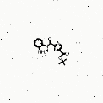 CC(C)(C)OC(=O)c1csc(C(=O)Nc2ccccc2N)n1